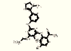 CCOC(=O)CNc1nc(Oc2cccc(C3=NCCN3C)c2)nc(Oc2cc(C#N)ccc2C(N)=O)c1[N+](=O)[O-]